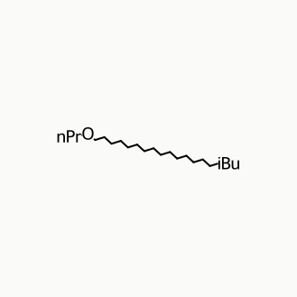 CCCOCCCCCCCCCCCCCCCC(C)CC